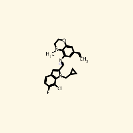 C=Cc1cc(/N=C/c2cc3ccc(F)c(Cl)c3n2CC2CC2)c2c(c1)OCCN2C